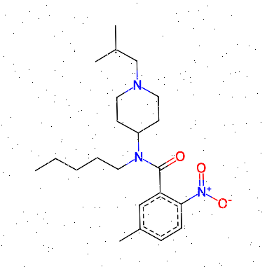 CCCCCN(C(=O)c1cc(C)ccc1[N+](=O)[O-])C1CCN(C[C](C)C)CC1